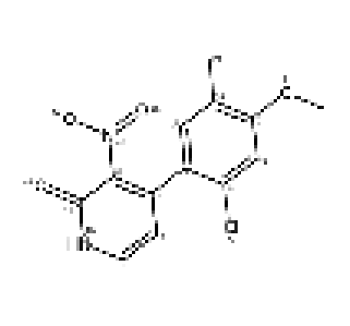 COc1cc(Cl)c(-c2cc[nH]c(=O)c2[N+](=O)[O-])cc1C